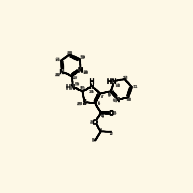 CC(C)OC(=O)C1=C(C2=NC=CCN2)NC(Nc2ncccn2)S1